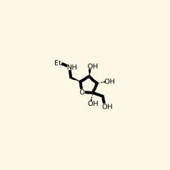 CCNC[C@@H]1O[C@](O)(CO)[C@@H](O)[C@@H]1O